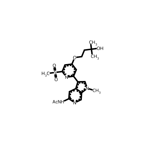 CC(=O)Nc1cc2c(-c3cc(OCCC(C)(C)O)cc(S(C)(=O)=O)n3)cn(C)c2cn1